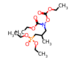 CCOC(=O)ON(CC(C)CP(=O)(OCC)OCC)C(=O)OCC